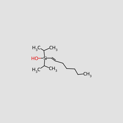 CCCCCC=C[Si](O)(C(C)C)C(C)C